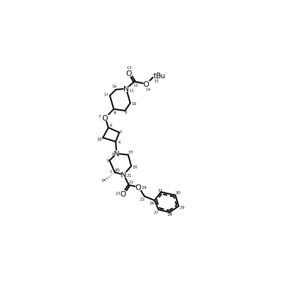 C[C@@H]1CN(C2CC(OC3CCN(C(=O)OC(C)(C)C)CC3)C2)CCN1C(=O)OCc1ccccc1